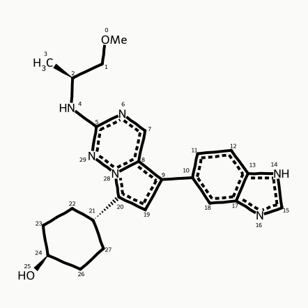 COC[C@H](C)Nc1ncc2c(-c3ccc4[nH]cnc4c3)cc([C@H]3CC[C@H](O)CC3)n2n1